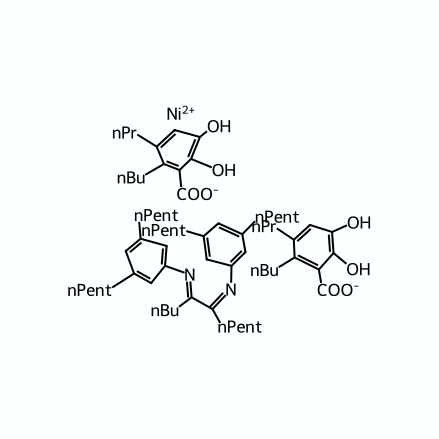 CCCCCC(=Nc1cc(CCCCC)cc(CCCCC)c1)C(CCCC)=Nc1cc(CCCCC)cc(CCCCC)c1.CCCCc1c(CCC)cc(O)c(O)c1C(=O)[O-].CCCCc1c(CCC)cc(O)c(O)c1C(=O)[O-].[Ni+2]